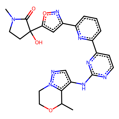 CC1OCCn2ncc(Nc3nccc(-c4cccc(-c5cc(C6(O)CCN(C)C6=O)on5)n4)n3)c21